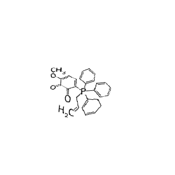 C=CCP(C1=CC=CCC1)(C1=CC=C(OC)C(=O)C1=O)(c1ccccc1)c1ccccc1